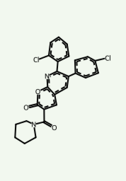 O=C(c1cc2cc(-c3ccc(Cl)cc3)c(-c3ccccc3Cl)nc2oc1=O)N1CCCCC1